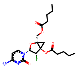 CCCCC(=O)OC[C@]12C[C@]1(OC(=O)CCCC)[C@@H](F)[C@H](n1ccc(N)nc1=O)O2